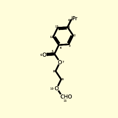 CC(C)c1ccc(C(=O)OCCOC=O)cc1